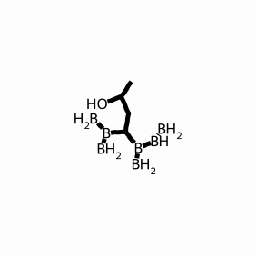 BBB(B)C(CC(C)O)B(B)B